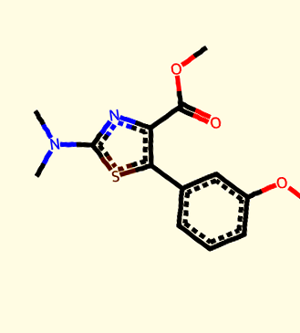 COC(=O)c1nc(N(C)C)sc1-c1cccc(OC)c1